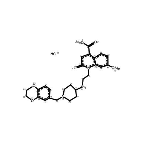 COC(=O)c1cc(=O)n(CCNC2CCN(Cc3ccc4c(c3)OCCO4)CC2)c2cc(OC)ccc12.Cl